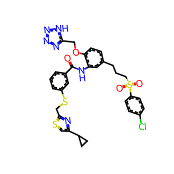 O=C(Nc1cc(CCCS(=O)(=O)c2ccc(Cl)cc2)ccc1OCc1nnn[nH]1)c1cccc(SCc2nc(C3CC3)cs2)c1